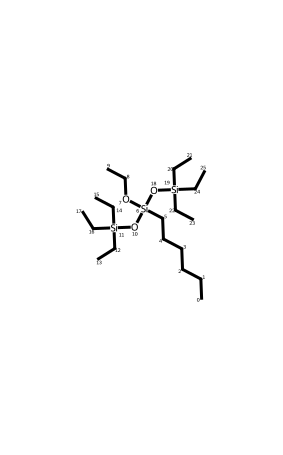 CCCCCC[Si](OCC)(O[Si](CC)(CC)CC)O[Si](CC)(CC)CC